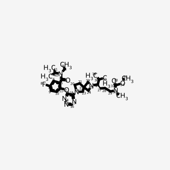 CCN(C(=O)c1cc(F)ccc1Oc1nncnc1N1CCC2(C1)CN([C@H](CCCN(C)C(=O)OC)C(C)C)C2)C(C)C